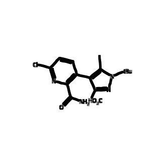 Cc1c(-c2ccc(Cl)nc2C(N)=O)c(C(=O)O)nn1C(C)(C)C